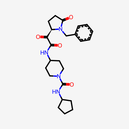 O=C(NC1CCN(C(=O)NC2CCCC2)CC1)C(=O)[C@H]1CCC(=O)N1Cc1ccccc1